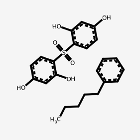 CCCCCc1ccccc1.O=S(=O)(c1ccc(O)cc1O)c1ccc(O)cc1O